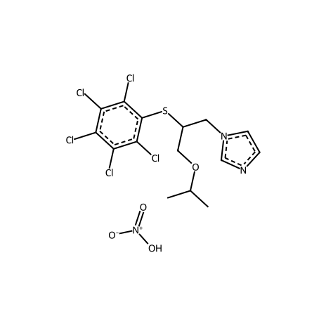 CC(C)OCC(Cn1ccnc1)Sc1c(Cl)c(Cl)c(Cl)c(Cl)c1Cl.O=[N+]([O-])O